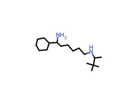 CC(NCCCCCC(N)C1CCCCC1)C(C)(C)C